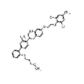 COCCCOc1ccccc1-c1ccc(C(CN)Cc2ccc(OCCOc3c(Cl)cc(C)cc3Cl)cc2)c(C)c1